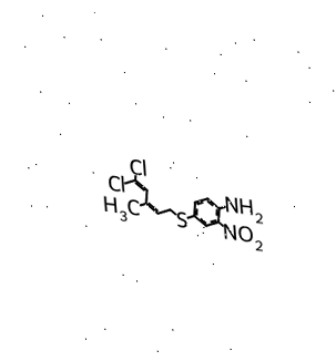 CC(C=C(Cl)Cl)=CCSc1ccc(N)c([N+](=O)[O-])c1